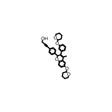 CC1=C(c2cccc(OC3CCCCO3)c2)C(c2ccc(C#CCO)cc2)Oc2ccc(OC3CCCCO3)cc21